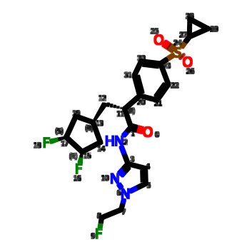 O=C(Nc1ccn(CCF)n1)[C@H](C[C@H]1C[C@@H](F)[C@@H](F)C1)c1ccc(S(=O)(=O)C2CC2)cc1